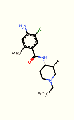 CCOC(=O)CN1CC[C@H](NC(=O)c2cc(Cl)c(N)cc2OC)[C@@H](C)C1